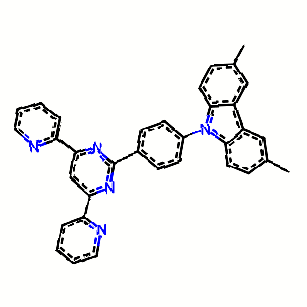 Cc1ccc2c(c1)c1cc(C)ccc1n2-c1ccc(-c2nc(-c3ccccn3)cc(-c3ccccn3)n2)cc1